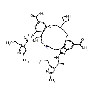 CCn1nc(C)cc1C(=O)NCN1C/C=C/Cn2c(NC(=O)c3cc(C)nn3CC)nc3cc(C(N)=O)cc(c32)OCC(C2CNC2)COc2cc(C(N)=O)cc(N)c21